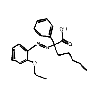 CCCCCC(N=Nc1ccccc1OCC)(C(=O)O)c1ccccc1